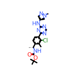 Cc1c([C@@H](C)NC(=O)OC(C)(C)C)ccc(-c2ncnc(Nc3cnn(C)c3)n2)c1Cl